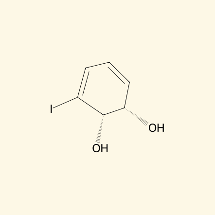 O[C@@H]1C(I)=CC=C[C@@H]1O